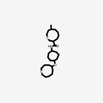 CC1CCCCC(C(=O)NC2CCCC(OC3CCCCCCCCC3)CCC2)CCCC1